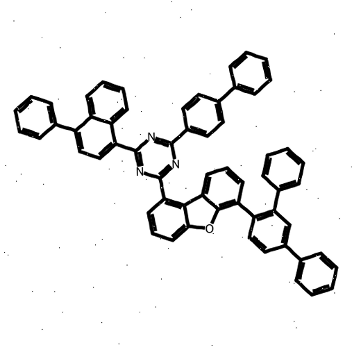 c1ccc(-c2ccc(-c3nc(-c4ccc(-c5ccccc5)c5ccccc45)nc(-c4cccc5oc6c(-c7ccc(-c8ccccc8)cc7-c7ccccc7)cccc6c45)n3)cc2)cc1